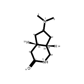 CN(C)C1C[C@H]2CC(=O)NC[C@H]2C1